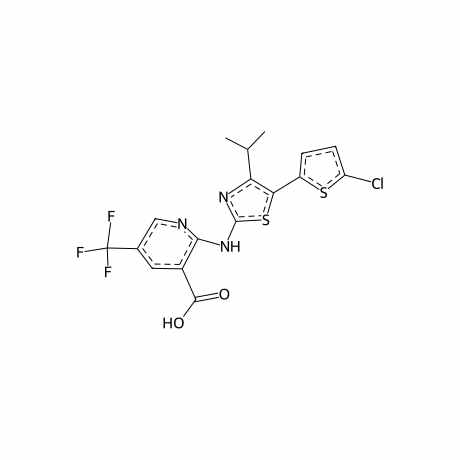 CC(C)c1nc(Nc2ncc(C(F)(F)F)cc2C(=O)O)sc1-c1ccc(Cl)s1